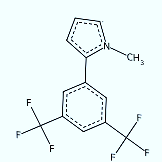 Cn1[c]ccc1-c1cc(C(F)(F)F)cc(C(F)(F)F)c1